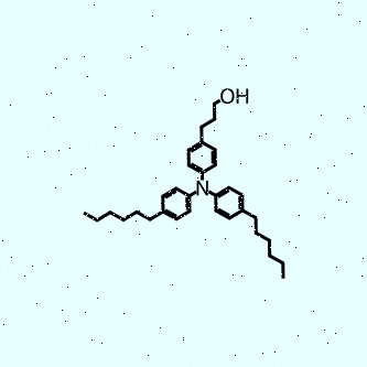 CCCCCCc1ccc(N(c2ccc(CCCO)cc2)c2ccc(CCCCCC)cc2)cc1